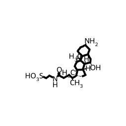 C[C@H](CCC(=O)NCCS(=O)(=O)O)[C@H]1CC[C@H]2[C@@H]3[C@@H](O)CC4C[C@H](N)CC[C@]4(C)[C@H]3CC[C@]12C